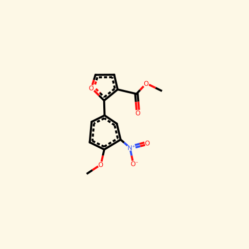 COC(=O)c1ccoc1-c1ccc(OC)c([N+](=O)[O-])c1